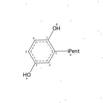 CCCC(C)c1cc(O)ccc1O